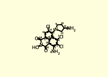 Nc1c(Cl)c(Cl)c2c(N3CCC(N)C3)c(Cl)cc3c2c1C(=O)N(O)C3=O